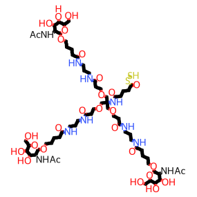 CC(=O)NC1C(OCCCCC(=O)NCCCNC(=O)CCOCC(COCCC(=O)NCCCNC(=O)CCCCOC2OC(CO)C(O)C(O)C2NC(C)=O)(COCCC(=O)NCCCNC(=O)CCCCOC2OC(CO)C(O)C(O)C2NC(C)=O)NC(=O)CCCC(=O)SS)OC(CO)C(O)C1O